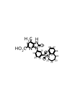 Cc1cc(C(=O)O)nc2c1[nH]c(=O)n2-c1cccc(S(=O)(=O)N2CCCCc3ccccc32)c1